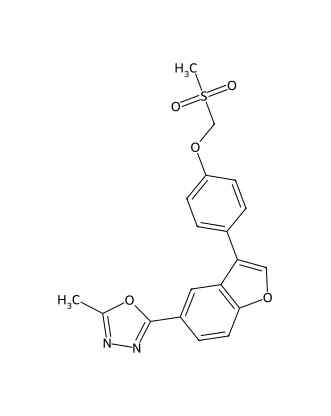 Cc1nnc(-c2ccc3occ(-c4ccc(OCS(C)(=O)=O)cc4)c3c2)o1